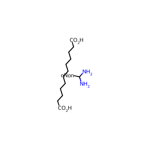 CCCCCCCCCC(N)N.O=C(O)CCCCCCCCCCC(=O)O